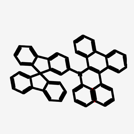 c1ccc(-c2c(N(c3ccccc3)c3ccc4c(c3)C3(c5ccccc5-c5ccccc53)c3ccccc3-4)c3ccccc3c3ccccc23)cc1